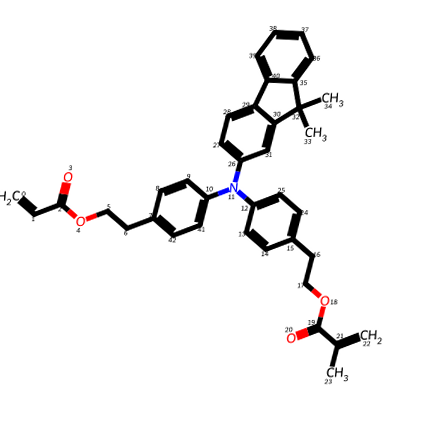 C=CC(=O)OCCc1ccc(N(c2ccc(CCOC(=O)C(=C)C)cc2)c2ccc3c(c2)C(C)(C)c2ccccc2-3)cc1